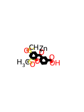 C[S+]([O-])c1cc([S+](C)[O-])c2oc3ccc(C(=O)O)cc3c(=O)c2c1.[Zn]